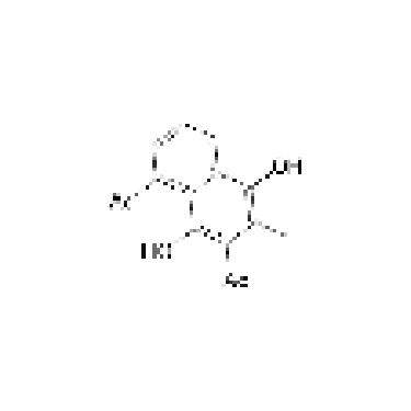 CC(=O)c1c(C)c(O)c2cccc(C(C)=O)c2c1O